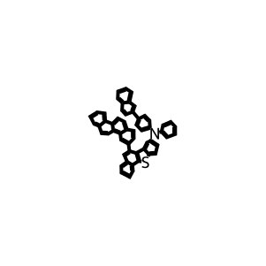 c1ccc(N(c2ccc(-c3ccc4ccccc4c3)cc2)c2ccc3sc4c5ccccc5cc(-c5ccc6ccc7c8ccccc8ccc7c6c5)c4c3c2)cc1